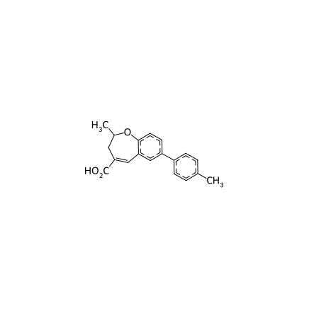 Cc1ccc(-c2ccc3c(c2)C=C(C(=O)O)CC(C)O3)cc1